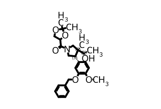 COc1ccc([C@@H]2CN(C(=O)C3COC(C)(C)O3)C[C@@]2(C)[C@@H](C)O)cc1OCc1ccccc1